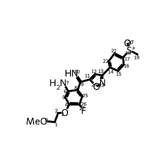 COCCOc1cc(N)c(C(=N)c2cc(-c3ccc([S+](C)[O-])cc3)no2)cc1F